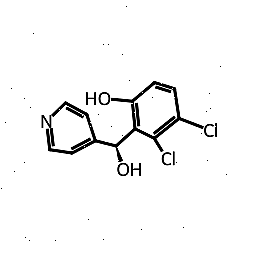 Oc1ccc(Cl)c(Cl)c1[C@@H](O)c1ccncc1